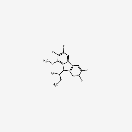 COc1c(F)c(F)cc2c1C(C(C)OC)c1cc(F)c(F)cc1-2